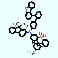 C[C@@H]1C[C@H]2CCC[C@@H](C1)C21c2ccccc2S(=O)(=O)c2cc(N(c3ccc(-c4ccccc4-c4cccc5sc6ccccc6c45)cc3)c3ccc4c(c3)C(C)(C)c3ccccc3-4)ccc21